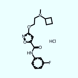 CN(CCOc1cc(C(=O)Nc2cccc(F)c2)on1)C1CCC1.Cl